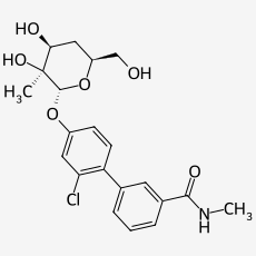 CNC(=O)c1cccc(-c2ccc(O[C@H]3O[C@H](CO)C[C@H](O)[C@]3(C)O)cc2Cl)c1